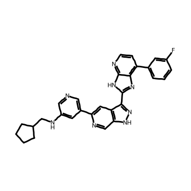 Fc1cccc(-c2ccnc3[nH]c(-c4n[nH]c5cnc(-c6cncc(NCC7CCCC7)c6)cc45)nc23)c1